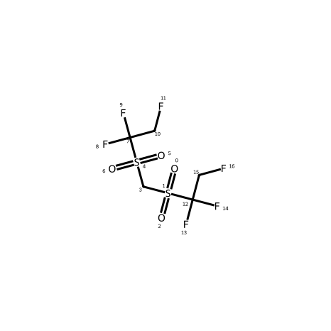 O=S(=O)(CS(=O)(=O)C(F)(F)CF)C(F)(F)CF